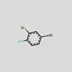 CCCc1ccc(F)c(Br)c1